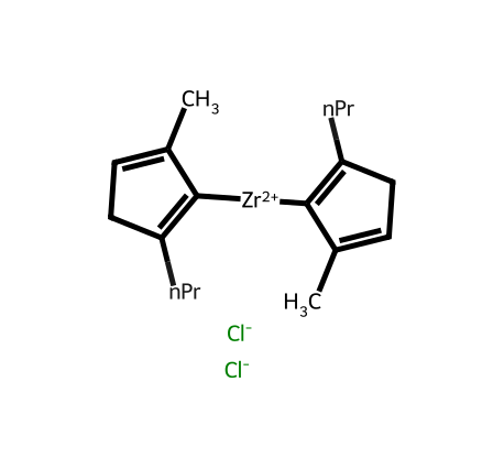 CCCC1=[C]([Zr+2][C]2=C(CCC)CC=C2C)C(C)=CC1.[Cl-].[Cl-]